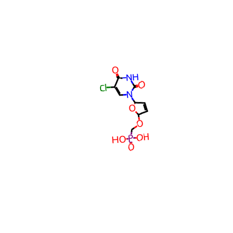 O=c1[nH]c(=O)n(C2C=CC(OCP(=O)(O)O)O2)cc1Cl